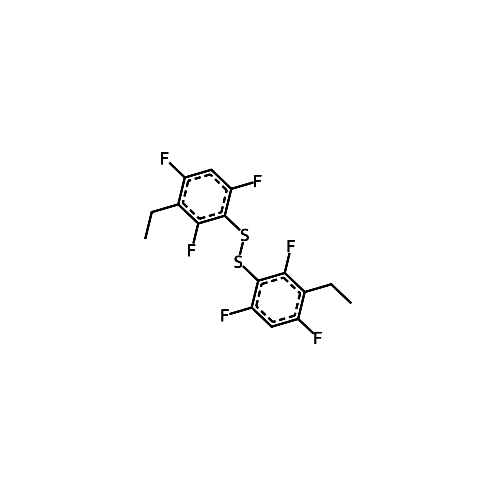 CCc1c(F)cc(F)c(SSc2c(F)cc(F)c(CC)c2F)c1F